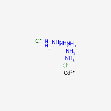 N.N.N.N.N.N.[Cd+2].[Cl-].[Cl-]